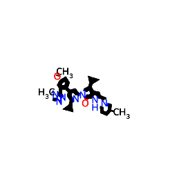 COc1ccc(-c2cc(C3CC3)nc(-n3cc(C4CC4)c4cc(CN5CCC[C@H](C)C5)[nH]c4c3=O)c2)c(-c2nncn2C)c1